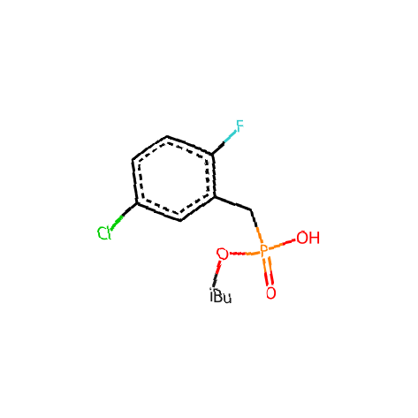 CCC(C)OP(=O)(O)Cc1cc(Cl)ccc1F